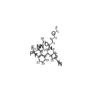 CCOC/C=C/C(=O)N1Cc2sc(C#N)cc2C(c2ccccc2-c2cn(CC)nc2C(F)(F)F)C1